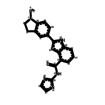 CCCN1CCc2cc(-c3nc4c(C(=O)Nc5nccs5)cccc4[nH]3)ccc21